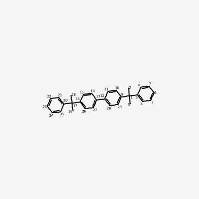 CC(C)(c1ccccc1)c1ccc(-c2ccc(C(C)(C)c3ccccc3)cc2)cc1